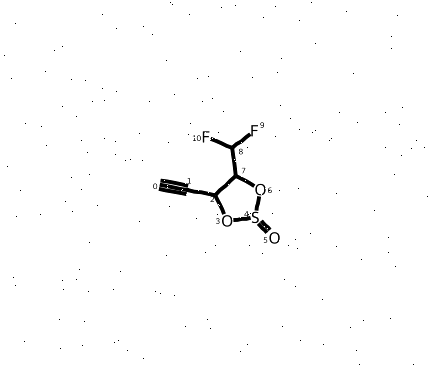 C#CC1OS(=O)OC1C(F)F